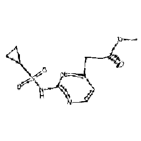 COC(=O)Cc1ccnc(NS(=O)(=O)C2CC2)n1